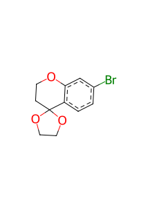 Brc1ccc2c(c1)OCCC21OCCO1